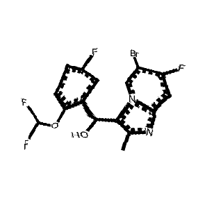 Cc1nc2cc(F)c(Br)cn2c1C(O)c1cc(F)ccc1OC(F)F